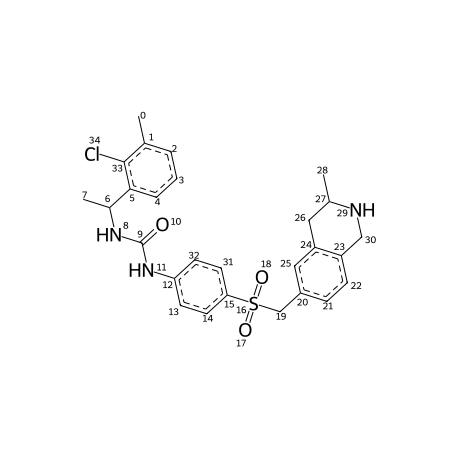 Cc1cccc(C(C)NC(=O)Nc2ccc(S(=O)(=O)Cc3ccc4c(c3)CC(C)NC4)cc2)c1Cl